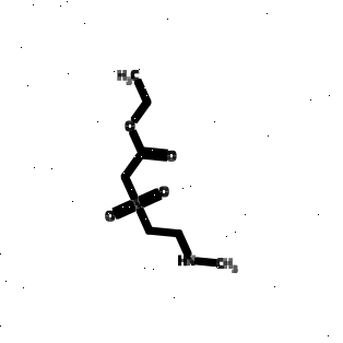 CCOC(=O)CS(=O)(=O)CCNC